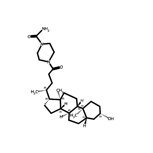 C[C@H](CCC(=O)N1CCN(C(N)=O)CC1)[C@H]1CC[C@H]2[C@@H]3CC[C@H]4C[C@@H](O)CC[C@]4(C)[C@H]3CC[C@]12C